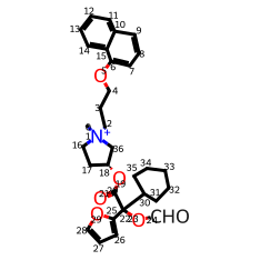 C[N+]1(CCCOc2cccc3ccccc23)CC[C@@H](OC(=O)C(OC=O)(c2ccco2)C2CCCCC2)C1